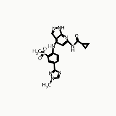 Cn1cnc(-c2ccc(Nc3cc(NC(=O)C4CC4)nc4[nH]ncc34)c(S(C)(=O)=O)c2)n1